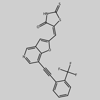 O=C1NC(=S)S/C1=C/c1cc2cncc(C#Cc3ccccc3C(F)(F)F)c2o1